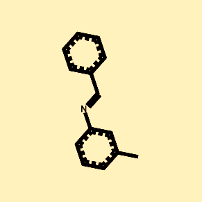 Cc1cccc(N=Cc2ccccc2)c1